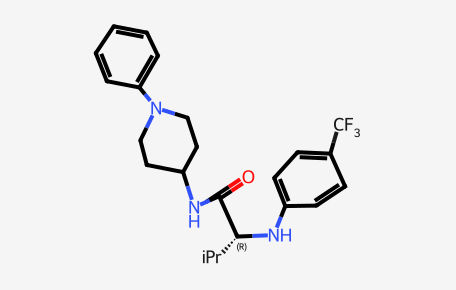 CC(C)[C@@H](Nc1ccc(C(F)(F)F)cc1)C(=O)NC1CCN(c2ccccc2)CC1